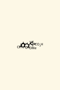 COC(=O)C(Cc1ccc(Cl)nc1)[C@H]1CCN(C(=O)O)C1